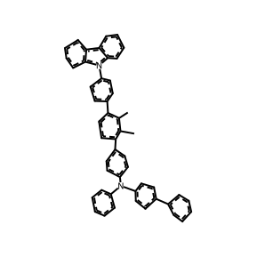 Cc1c(-c2ccc(N(c3ccccc3)c3ccc(-c4ccccc4)cc3)cc2)ccc(-c2ccc(-n3c4ccccc4c4ccccc43)cc2)c1C